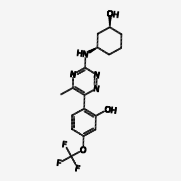 Cc1nc(N[C@@H]2CCC[C@H](O)C2)nnc1-c1ccc(OC(F)(F)F)cc1O